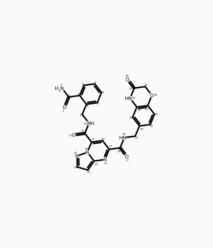 NC(=O)c1ccccc1CNC(=O)c1cc(C(=O)NCc2ccc3c(c2)NC(=O)CO3)nc2ccnn12